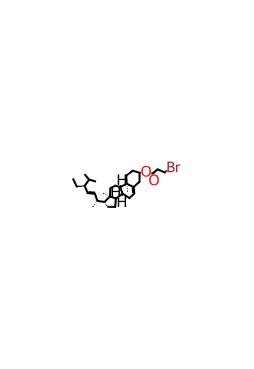 CC[C@H](/C=C/[C@@H](C)[C@H]1CC[C@H]2[C@@H]3CC=C4C[C@@H](OC(=O)CCBr)CC[C@]4(C)[C@H]3CC[C@]12C)C(C)C